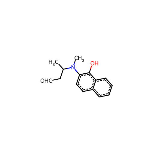 CC(CC=O)N(C)c1ccc2ccccc2c1O